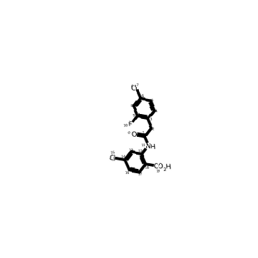 O=C(Cc1ccc(Cl)cc1F)Nc1cc(Cl)ccc1C(=O)O